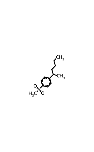 CCCCC(C)c1ccc(S(C)(=O)=O)cc1